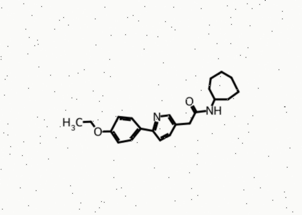 CCOc1ccc(-c2ccc(CC(=O)NC3CCCCCC3)cn2)cc1